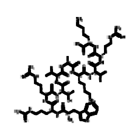 CC(C)[C@H](NC(=O)[C@H](CCCCN)NC(=O)[C@H](C)NC(=O)[C@@H](NC(=O)[C@@H](NC(=O)[C@H](CCCNC(=N)N)NC(=O)[C@H](CCCNC(=N)N)NC(=O)[C@@H](N)Cc1c[nH]c2ccccc12)[C@@H](C)O)C(C)C)C(=O)N[C@@H](CCCNC(=N)N)C(=O)N[C@@H](CCCCN)C(=O)O